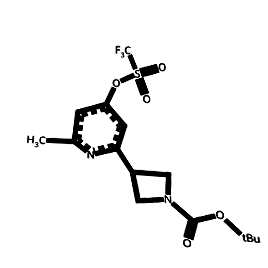 Cc1cc(OS(=O)(=O)C(F)(F)F)cc(C2CN(C(=O)OC(C)(C)C)C2)n1